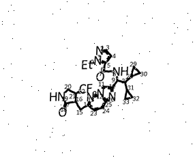 CCn1nccc1C(=O)NC(c1cn2nc(CC3C(=O)NCC3C(F)(F)F)ccc2n1)C(C1CC1)C1CC1